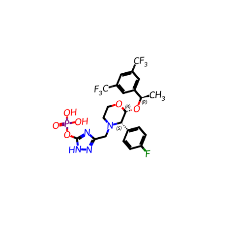 C[C@@H](O[C@H]1OCCN(Cc2n[nH]c(OP(=O)(O)O)n2)[C@H]1c1ccc(F)cc1)c1cc(C(F)(F)F)cc(C(F)(F)F)c1